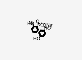 O=[N+]([O-])c1ccc(O)cc1.O=[N+]([O-])c1ccccc1O.[Na].[Na]